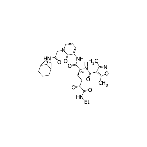 CCNC(=O)C(=O)CC[C@H](NC(=O)c1c(C)noc1C)C(=O)Nc1cccn(CC(=O)NC2C3CCCC2CC3)c1=O